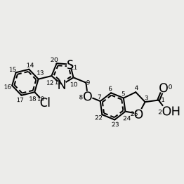 O=C(O)C1Cc2cc(OCc3nc(-c4ccccc4Cl)cs3)ccc2O1